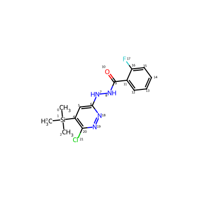 C[Si](C)(C)c1cc(NNC(=O)c2ccccc2F)nnc1Cl